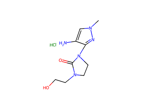 Cl.Cn1cc(N)c(N2CCN(CCO)C2=O)n1